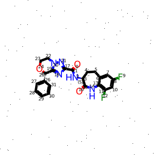 O=C(N[C@H]1CCc2cc(F)cc(F)c2NC1=O)c1nc2n(n1)CCO[C@H]2c1ccccc1